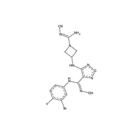 N#CN=C(N)N1CC(Nc2nonc2C(=NO)Nc2ccc(F)c(Br)c2)C1